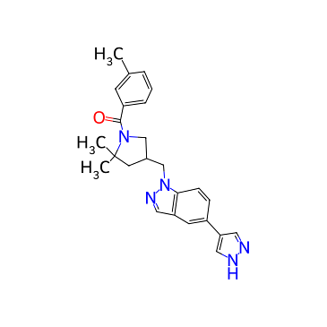 Cc1cccc(C(=O)N2CC(Cn3ncc4cc(-c5cn[nH]c5)ccc43)CC2(C)C)c1